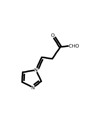 O=CC(=O)CC=[N+]1C=CN=C1